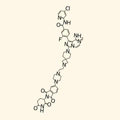 Nc1nccn2c(N3CCC4(CC3)CN(CCN3CCN(c5ccc6c(c5)C(=O)N(C5CCC(=O)NC5=O)C6=O)CC3)C4)nc(-c3ccc(C(=O)Nc4cc(Cl)ccn4)cc3F)c12